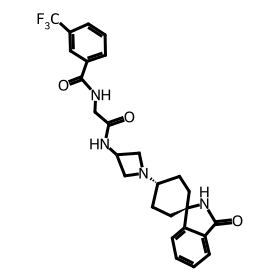 O=C(CNC(=O)c1cccc(C(F)(F)F)c1)NC1CN([C@H]2CC[C@@]3(CC2)NC(=O)c2ccccc23)C1